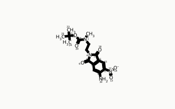 CN(CCN1C(=O)c2cc(N)c([N+](=O)[O-])cc2C1=O)C(=O)OC(C)(C)C